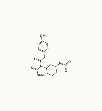 CNC(=S)N(C(=O)Cc1ccc(OC)cc1)C1CCCC(N=S(=O)=O)C1